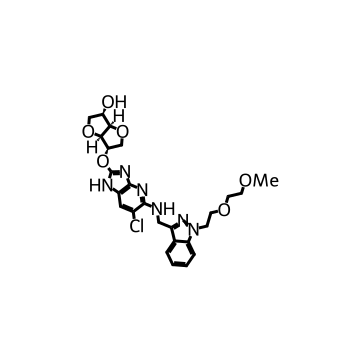 COCCOCCn1nc(CNc2nc3nc(O[C@@H]4CO[C@H]5[C@@H]4OC[C@H]5O)[nH]c3cc2Cl)c2ccccc21